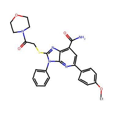 CCOc1ccc(-c2cc(C(N)=O)c3nc(SCC(=O)N4CCOCC4)n(-c4ccccc4)c3n2)cc1